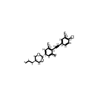 CCC[C@H]1CO[C@H](c2cc(F)c(C#Cc3ccc(Cl)c(F)c3)c(F)c2)OC1